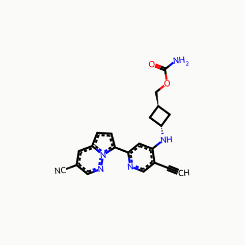 C#Cc1cnc(-c2ccc3cc(C#N)cnn23)cc1N[C@H]1C[C@H](COC(N)=O)C1